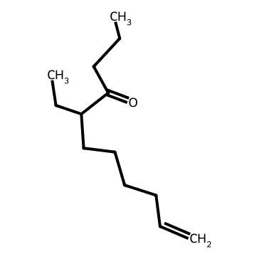 C=CCCCCC(CC)C(=O)CCC